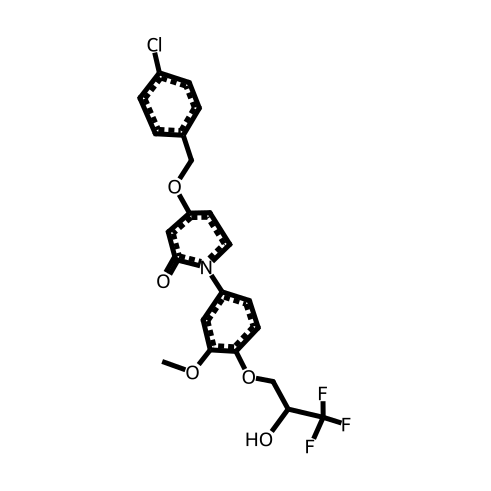 COc1cc(-n2ccc(OCc3ccc(Cl)cc3)cc2=O)ccc1OCC(O)C(F)(F)F